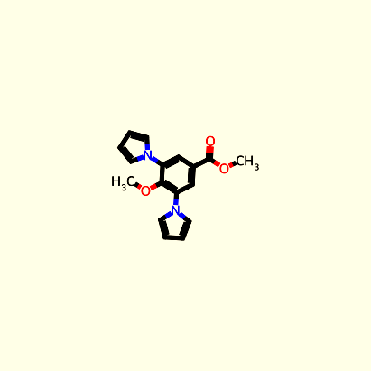 COC(=O)c1cc(-n2cccc2)c(OC)c(-n2cccc2)c1